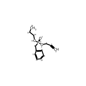 C#CCOP(=O)(Cc1ccccc1)OCCC